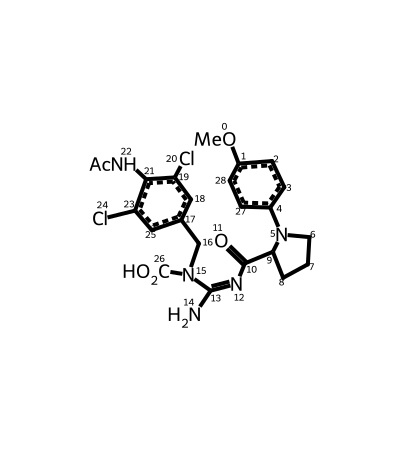 COc1ccc(N2CCCC2C(=O)N=C(N)N(Cc2cc(Cl)c(NC(C)=O)c(Cl)c2)C(=O)O)cc1